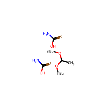 CCCCOC(C)OCCCC.NC(O)=S.NC(O)=S